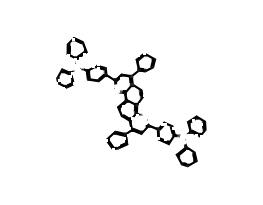 c1ccc(-c2cc(-c3ccc(N(c4ccccc4)c4ccccc4)cc3)nc3c2ccc2c3ccc3c(-c4ccccc4)cc(-c4ccc(N(c5ccccc5)c5ccccc5)cc4)nc32)cc1